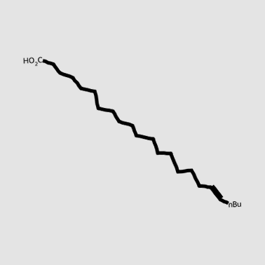 CCCCC=CCCCCCCCCCCCCCCCCC(=O)O